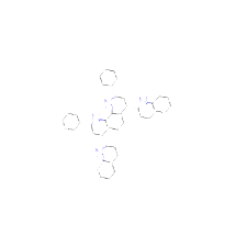 c1ccc(-c2cc(-c3ccc4ccccc4n3)c3ccc4c(-c5ccc6ccccc6n5)cc(-c5ccccc5)nc4c3n2)cc1